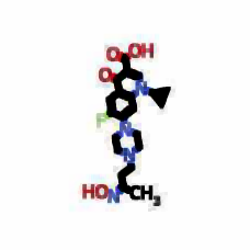 C/C(CCN1CCN(c2cc3c(cc2F)c(=O)c(C(=O)O)cn3C2CC2)CC1)=N/O